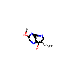 CCOC(=O)c1cnc2nc(OCC)cnc2c1O